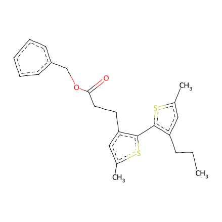 CCCc1cc(C)sc1-c1sc(C)cc1CCC(=O)OCc1ccccc1